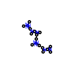 c1ccc(-c2nc(-c3ccc(-c4ccc5c(c4)c4ccccc4n5-c4cc5c6ccccc6n6c7ccccc7c(c4)c56)cc3)nc(-c3ccc(-c4cc5c6ccccc6n6c7ccc8c(c9ccccc9n8-c8ccc(-c9nc(-c%10ccccc%10)nc(-c%10ccccc%10)n9)cc8)c7c(c4)c56)cc3)n2)cc1